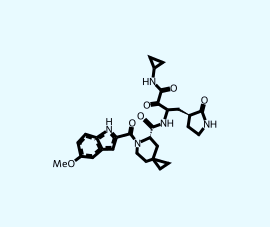 COc1ccc2[nH]c(C(=O)N3CCC4(CC4)C[C@H]3C(=O)NC(C[C@@H]3CCNC3=O)C(=O)C(=O)NC3CC3)cc2c1